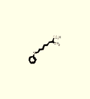 C=C(CCCCCCSc1ccccc1)C(=O)O